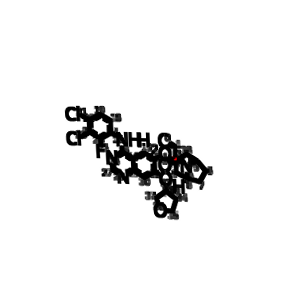 C=CC(=O)N1C2CC[C@H]1C[C@H](Oc1cc3c(Nc4ccc(Cl)c(Cl)c4F)ncnc3cc1O[C@@H]1CCOC1)C2